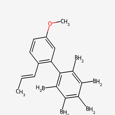 Bc1c(B)c(B)c(-c2cc(OC)ccc2/C=C/C)c(B)c1B